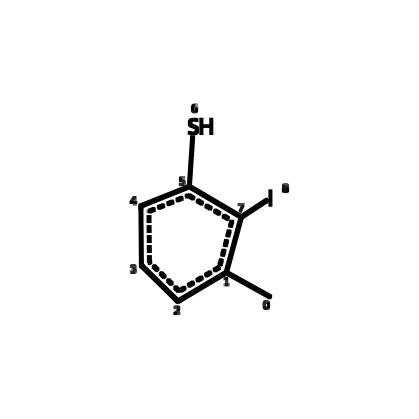 Cc1cccc(S)c1I